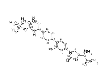 CC(=O)C(N)C1CN(c2ccc(-c3ccc(C(CO)NC(=O)OC(C)(C)C)cc3)c(F)c2)C(=O)O1